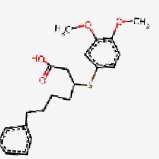 COc1ccc(SC(CCCCc2ccccc2)CC(=O)O)cc1OC